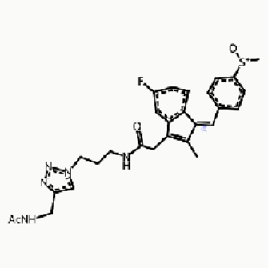 CC(=O)NCc1cn(CCCNC(=O)CC2=C(C)/C(=C/c3ccc([S+](C)[O-])cc3)c3ccc(F)cc32)nn1